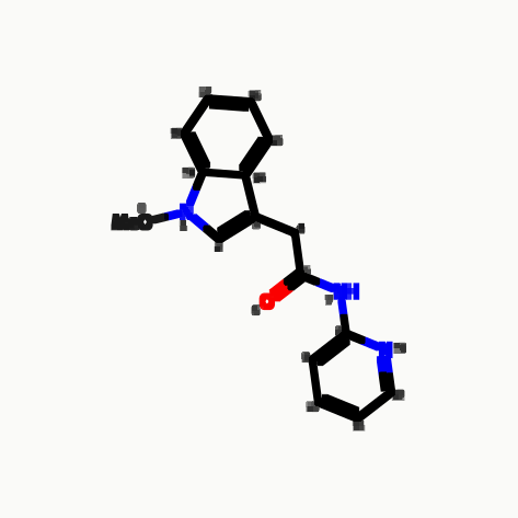 COn1cc(CC(=O)Nc2ccccn2)c2ccccc21